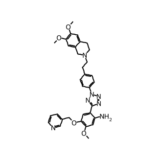 COc1cc2c(cc1OC)CN(CCc1ccc(-n3nnc(-c4cc(OCc5cccnc5)c(OC)cc4N)n3)cc1)CC2